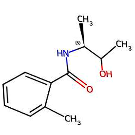 Cc1ccccc1C(=O)N[C@@H](C)C(C)O